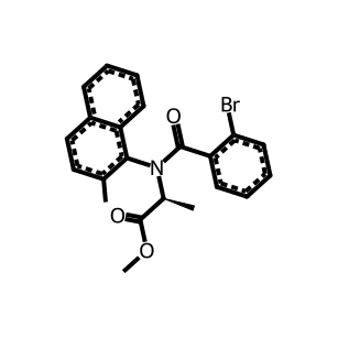 COC(=O)[C@H](C)N(C(=O)c1ccccc1Br)c1c(C)ccc2ccccc12